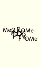 COCOc1c(F)c(F)c(C(=O)OC)c(F)c1OC